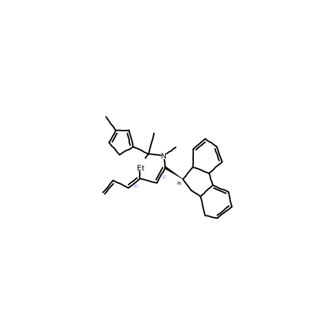 C=C/C=C(/C=C(/[C@@H]1CC2CC=CC=C2C2C=CC=CC21)N(C)C(C)(C)C1=CC(C)=CC1)CC